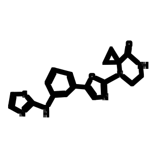 O=C1NCCN(c2ncc(-c3cccc(Nc4nccs4)c3)o2)C12CC2